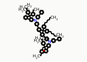 C=Cc1ccc(CC2(c3ccc(C(C)(C)C)cc3)c3ccccc3-c3ccc(N(c4ccc(-c5ccccc5)cc4)c4ccc(-c5ccc6c(c5)C(c5ccc(CCCCCC)cc5)(c5ccc(CCCCCC)cc5)c5cc(-c7ccc(N(c8ccc(-c9ccccc9)cc8)c8ccc9c(c8)C(c8ccc(C(C)(C)C)cc8)(c8cccc(C=C)c8)c8ccccc8-9)cc7)ccc5-6)cc4)cc32)cc1